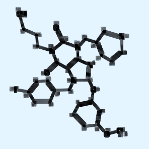 O=c1c2c(nc(Oc3cccc(OC(F)(F)F)c3)n2Cc2ccc(F)cc2)n(Cc2cccnc2)c(=O)n1CCCO